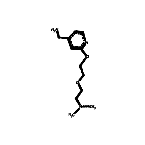 CN(C)CCOCCOc1cc(CN)ccn1